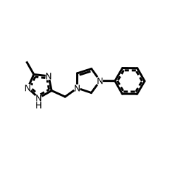 Cc1n[nH]c(CN2C=CN(c3ccccc3)C2)n1